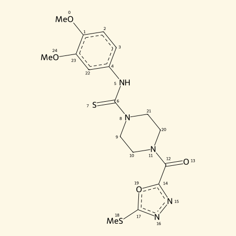 COc1ccc(NC(=S)N2CCN(C(=O)c3nnc(SC)o3)CC2)cc1OC